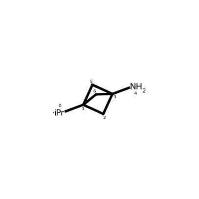 C[C](C)C12CC(N)(C1)C2